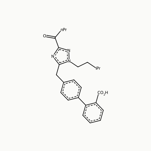 CCCC(=O)c1nc(Cc2ccc(-c3ccccc3C(=O)O)cc2)n(CCC(C)C)n1